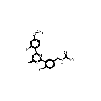 CC(C)C(=O)NCc1ccc(Cl)c(-c2nc(-c3ccc(OC(F)(F)F)cc3F)cc(=O)[nH]2)c1